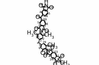 Cc1cc(Cc2cc(C)c(-n3c(=O)c4cc5c(=O)n(C)c(=O)c5cc4c3=O)c(C)c2)cc(C)c1N1C(=O)c2ccc(C(=O)c3ccc4c(c3)C(=O)NC4=O)cc2C1=O